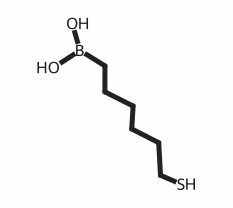 OB(O)CCCCCCS